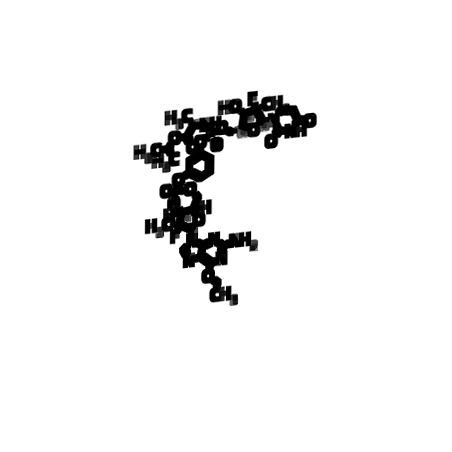 CCOc1nc(N)nc2c1ncn2[C@@H]1O[C@@H]2COP(=O)(Oc3cccc(OP(=O)(N[C@@H](C)C(=O)OC(C)C)OC[C@H]4O[C@@H](n5ccc(=O)[nH]c5=O)[C@](C)(F)[C@@H]4O)c3)O[C@H]2[C@@]1(C)F